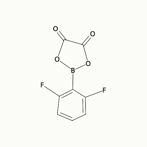 O=C1OB(c2c(F)cccc2F)OC1=O